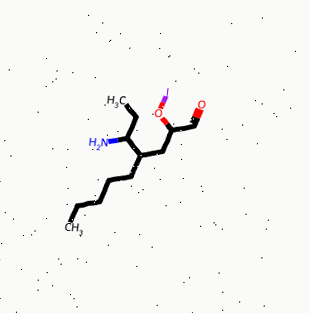 CCCCCC(CC(C=O)OI)C(N)CC